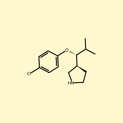 CC(C)[C@@H](Oc1ccc(Cl)cc1)[C@H]1CCNC1